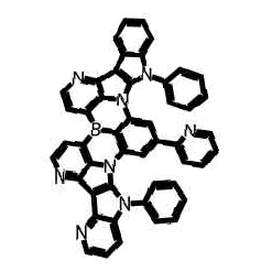 c1ccc(-n2c3ccccc3c3c4nccc5c4n(c32)-c2cc(-c3ccccn3)cc3c2B5c2ccnc4c5c6ncccc6n(-c6ccccc6)c5n-3c24)cc1